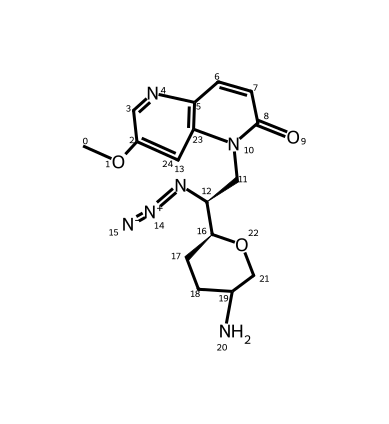 COc1cnc2ccc(=O)n(C[C@H](N=[N+]=[N-])[C@@H]3CCC(N)CO3)c2c1